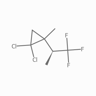 C[C@H](C(F)(F)F)C1(C)CC1(Cl)Cl